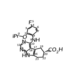 CC(C)Oc1cc(F)ccc1Nc1ncnc2[nH]c3c(c12)C[C@@H](C(=O)O)CC3